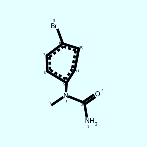 CN(C(N)=O)c1ccc(Br)cc1